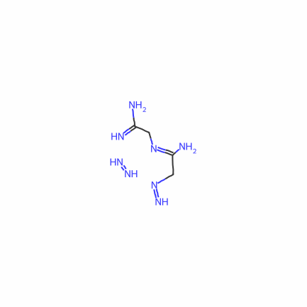 N=N.N=NCC(N)=NCC(=N)N